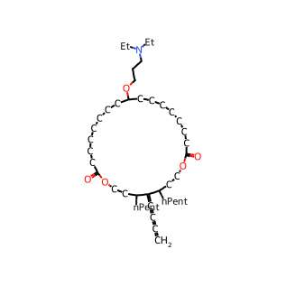 C=C=C=C=C1C(CCCCC)CCOC(=O)CCCCCCCC(OCCCN(CC)CC)CCCCCCCC(=O)OCCC1CCCCC